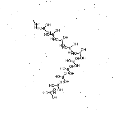 CNC.OB(O)O.OB(O)O.OB(O)O.OB(O)O.OB(O)O.OB(O)O.OB(O)O.OB(O)O.OB(O)O.OB(O)O